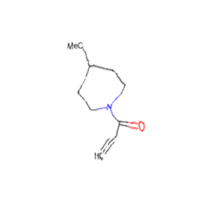 C#CC(=O)N1CCC(OC)CC1